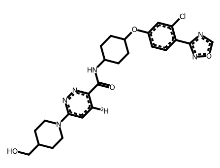 [2H]c1cc(N2CCC(CO)CC2)nnc1C(=O)NC1CCC(Oc2ccc(-c3ncon3)c(Cl)c2)CC1